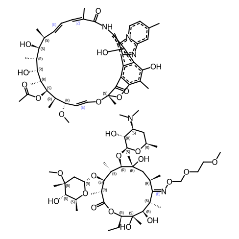 CC[C@H]1OC(=O)[C@H](C)[C@@H](O[C@H]2C[C@@](C)(OC)[C@@H](O)[C@H](C)O2)[C@H](C)[C@@H](O[C@@H]2O[C@H](C)C[C@H](N(C)C)[C@H]2O)[C@](C)(O)C[C@@H](C)/C(=N\OCOCCOC)[C@H](C)[C@@H](O)[C@]1(C)O.CO[C@H]1/C=C/O[C@@]2(C)Oc3c(C)c(O)c4c(O)c(c5c(nc6cc(C)ccn65)c4c3C2=O)NC(=O)/C(C)=C\C=C\[C@H](C)[C@H](O)[C@@H](C)[C@@H](O)[C@@H](C)[C@H](OC(C)=O)[C@@H]1C